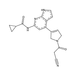 N#CCC(=O)N1CC=C(c2cc(NC(=O)C3CC3)nc3[nH]ccc23)C1